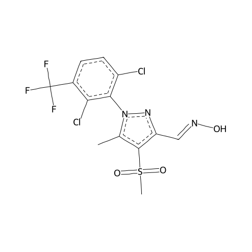 Cc1c(S(C)(=O)=O)c(C=NO)nn1-c1c(Cl)ccc(C(F)(F)F)c1Cl